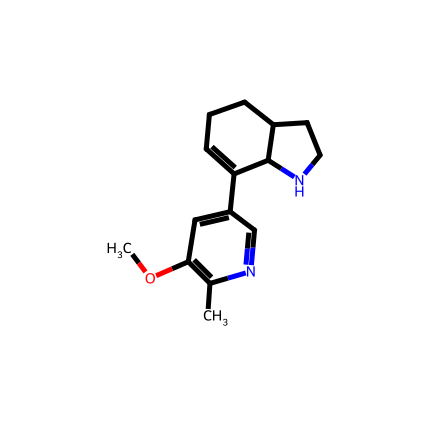 COc1cc(C2=CCCC3CCNC23)cnc1C